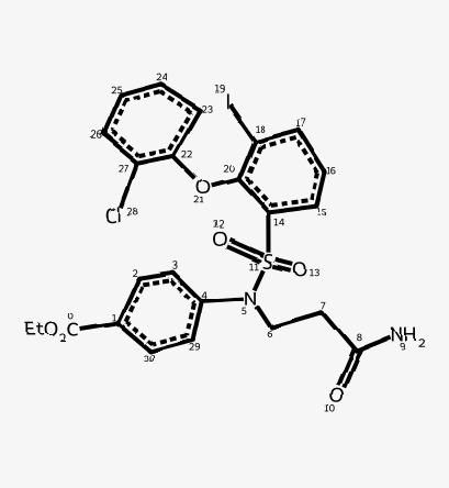 CCOC(=O)c1ccc(N(CCC(N)=O)S(=O)(=O)c2cccc(I)c2Oc2ccccc2Cl)cc1